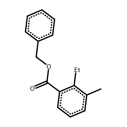 CCc1c(C)cccc1C(=O)OCc1ccccc1